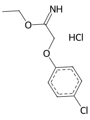 CCOC(=N)COc1ccc(Cl)cc1.Cl